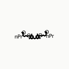 CCCC(CCCOc1c(C)cc(Cc2cc(C)c(OCCCC(CCC)C3CO3)c(C)c2)cc1C)C1CO1